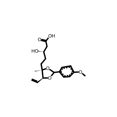 C=C[C@@H]1OC(c2ccc(OC)cc2)O[C@]1(C)CC[C@H](O)CC(=O)O